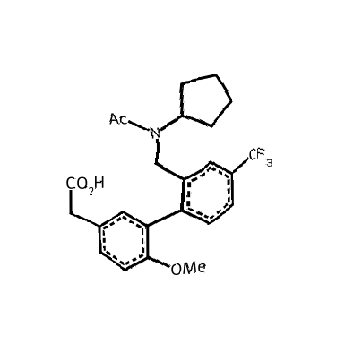 COc1ccc(CC(=O)O)cc1-c1ccc(C(F)(F)F)cc1CN(C(C)=O)C1CCCC1